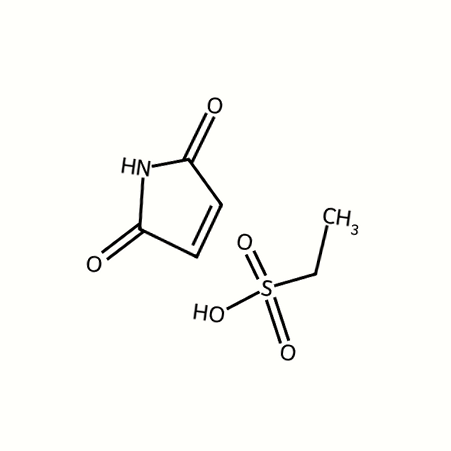 CCS(=O)(=O)O.O=C1C=CC(=O)N1